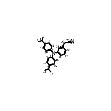 CC(C)c1ccc(N(c2ccc(C(C)C)cc2)c2cccc(CC#N)c2)cc1